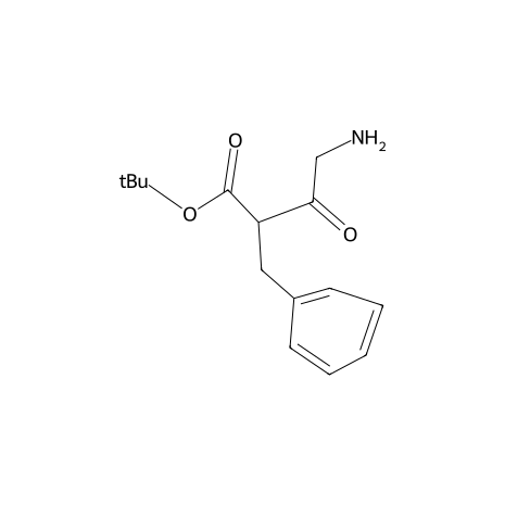 CC(C)(C)OC(=O)C(Cc1ccccc1)C(=O)CN